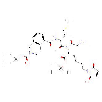 CSCC[C@H](NC(=O)c1cccc2c1CCN(C(=O)OC(C)(C)C)C2)C(=O)N(C(=O)CN)[C@@H](CCCCN1C(=O)C=CC1=O)C(=O)OC(C)(C)C